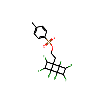 Cc1ccc(S(=O)(=O)OCCC23C4(F)C5(F)C6(F)C4(F)C2(F)C6(F)C53F)cc1